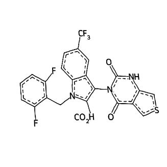 O=C(O)c1c(-n2c(=O)[nH]c3cscc3c2=O)c2cc(C(F)(F)F)ccc2n1Cc1c(F)cccc1F